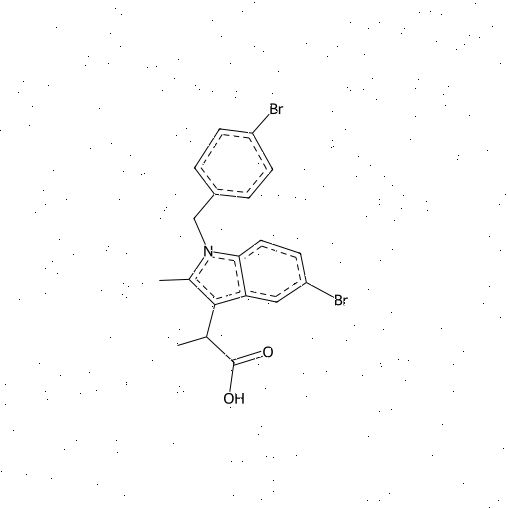 Cc1c(C(C)C(=O)O)c2cc(Br)ccc2n1Cc1ccc(Br)cc1